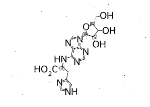 O=C(O)[C@@H](Cc1c[nH]cn1)Nc1ncnc2c1ncn2[C@@H]1O[C@H](CO)C(O)[C@@H]1O